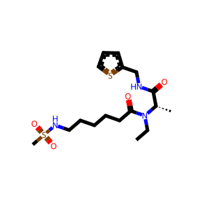 CCN(C(=O)CCCCCNS(C)(=O)=O)[C@@H](C)C(=O)NCc1cccs1